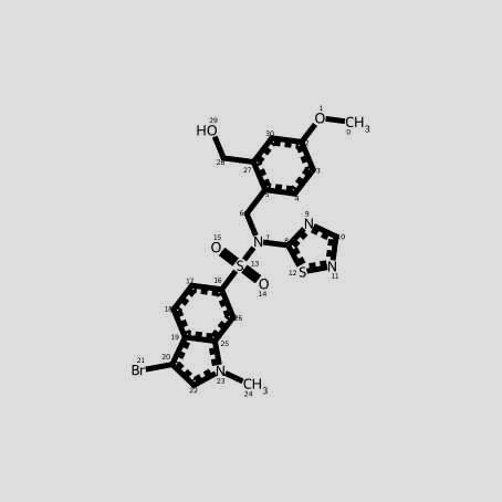 COc1ccc(CN(c2ncns2)S(=O)(=O)c2ccc3c(Br)cn(C)c3c2)c(CO)c1